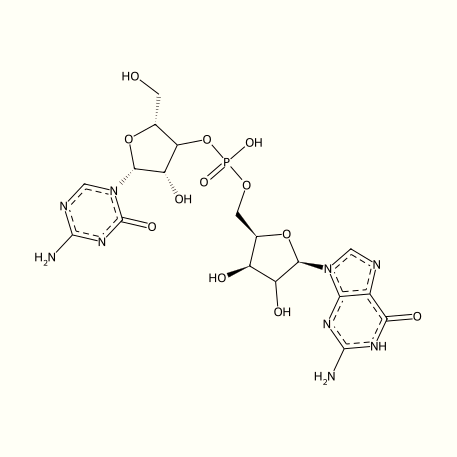 Nc1ncn([C@@H]2O[C@H](CO)C(OP(=O)(O)OC[C@H]3O[C@@H](n4cnc5c(=O)[nH]c(N)nc54)C(O)[C@H]3O)[C@@H]2O)c(=O)n1